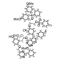 CCOC(=O)[C@@H](Cc1cc(O)ccc1OCc1ccnc(-c2ccccc2OC)n1)Oc1ncnc2sc(-c3ccc(F)cc3)c(-c3ccc(O[C@H](COC(c4ccccc4)(c4ccc(OC)cc4)c4ccc(OC)cc4)COS(=O)(=O)c4ccc(C)cc4)c(Cl)c3)c12